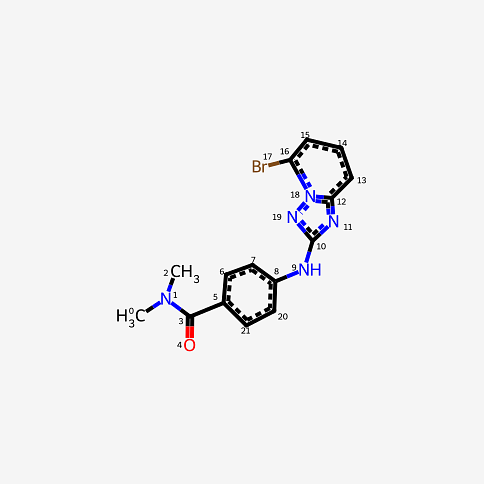 CN(C)C(=O)c1ccc(Nc2nc3cccc(Br)n3n2)cc1